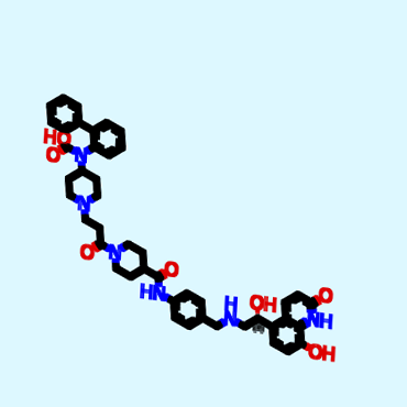 O=C(Nc1ccc(CNC[C@H](O)c2ccc(O)c3[nH]c(=O)ccc23)cc1)C1CCN(C(=O)CCN2CCC(N(C(=O)O)c3ccccc3-c3ccccc3)CC2)CC1